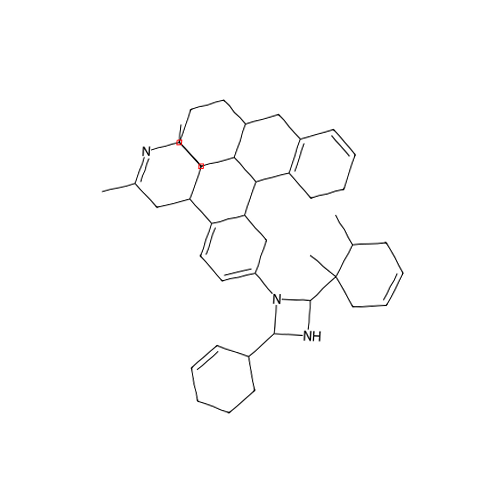 CC1=NC(C)CC(C2=CC=C(N3C(C4C=CCCC4)NC3C3(C)CC=CCC3C)CC2C2C3=C(C=CCC3)CC3CCCCC32)C1